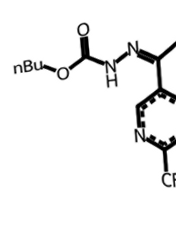 CCCCOC(=O)N/N=C(/C)c1ccc(C(F)(F)F)nc1